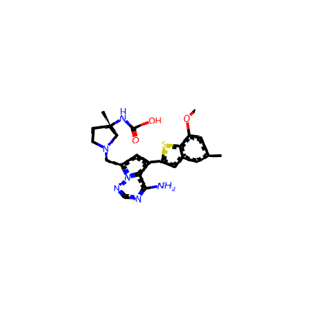 COc1cc(C)cc2cc(-c3cc(CN4CC[C@](C)(NC(=O)O)C4)n4ncnc(N)c34)sc12